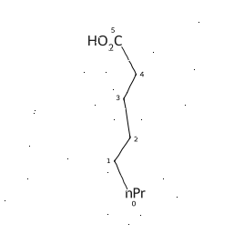 [CH2]CCCCCCC(=O)O